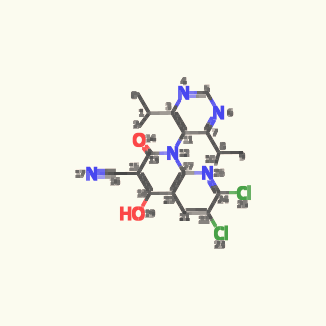 CC(C)c1ncnc(C(C)C)c1-n1c(=O)c(C#N)c(O)c2cc(Cl)c(Cl)nc21